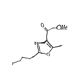 COC(=O)c1nc(CCI)oc1C